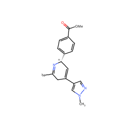 [2H]C1=N[C@H](c2ccc(C(=O)OC)cc2)C=C(c2cnn(C)c2)C1